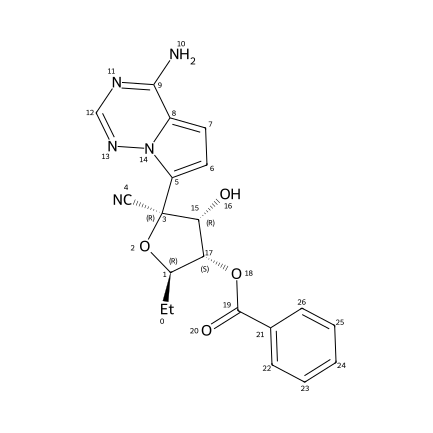 CC[C@H]1O[C@@](C#N)(c2ccc3c(N)ncnn23)[C@H](O)[C@@H]1OC(=O)c1ccccc1